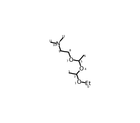 CCOC(C)OC(C)OCCN(C)C